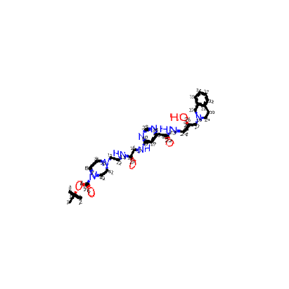 CC(C)(C)OC(=O)N1CCN(CCNC(=O)CNc2cc(C(=O)NCC(O)CN3CCc4ccccc4C3)ncn2)CC1